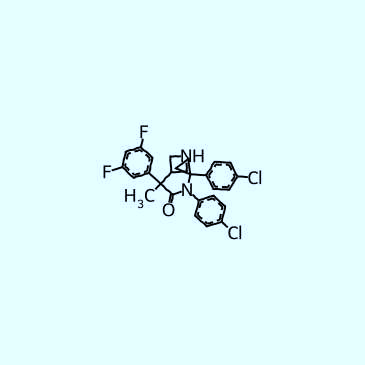 CC(C(=O)N(c1ccc(Cl)cc1)C1(c2ccc(Cl)cc2)CC1)(c1cc(F)cc(F)c1)C1CNC1